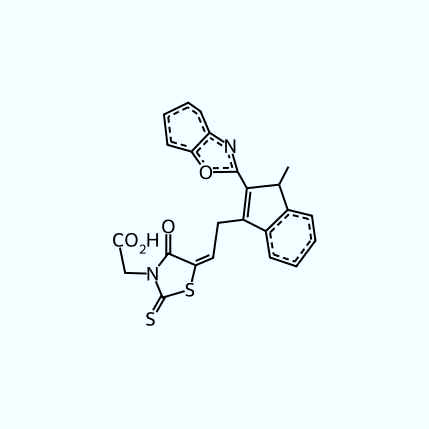 CC1C(c2nc3ccccc3o2)=C(CC=C2SC(=S)N(CC(=O)O)C2=O)c2ccccc21